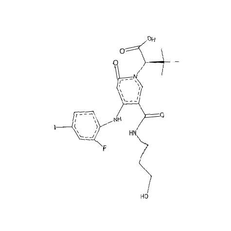 CC(C)(C)[C@H](C(=O)O)n1cc(C(=O)NCCCO)c(Nc2ccc(I)cc2F)cc1=O